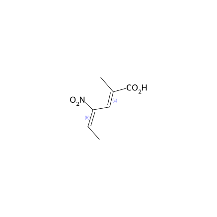 C/C=C(\C=C(/C)C(=O)O)[N+](=O)[O-]